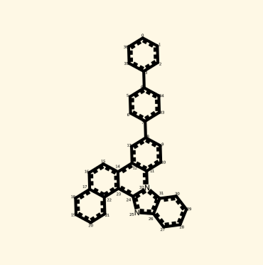 c1ccc(-c2ccc(-c3ccc4c(c3)c3ccc5ccccc5c3c3nc5ccccc5n43)cc2)cc1